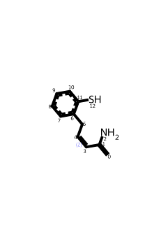 C=C(N)/C=C\Cc1ccccc1S